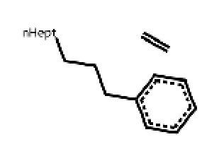 C=C.CCCCCCCCCCc1ccccc1